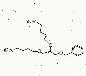 CCCCCCCCCCCCCCOCC(COCc1ccccc1)OCCCCCCCCCCCCCC